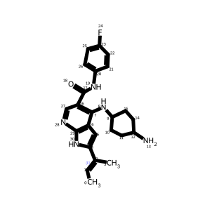 C/C=C(\C)c1cc2c(NC3CCC(N)CC3)c(C(=O)Nc3ccc(F)cc3)cnc2[nH]1